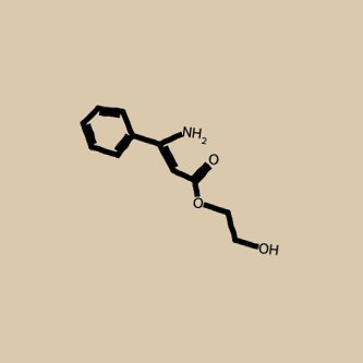 NC(=CC(=O)OCCO)c1ccccc1